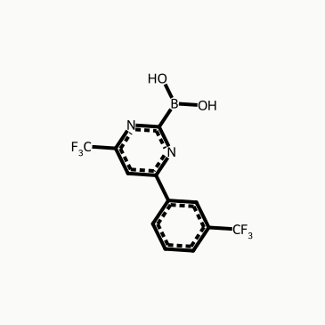 OB(O)c1nc(-c2cccc(C(F)(F)F)c2)cc(C(F)(F)F)n1